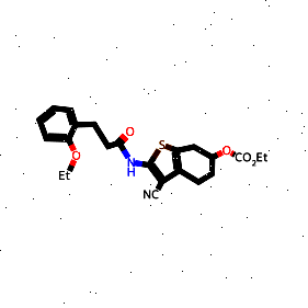 CCOC(=O)OC1CCc2c(sc(NC(=O)CCc3ccccc3OCC)c2C#N)C1